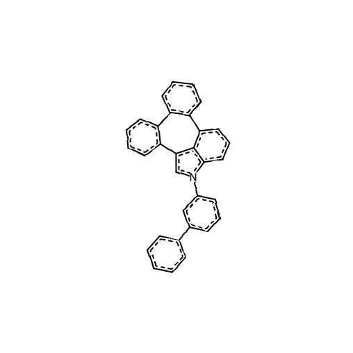 c1ccc(-c2cccc(-n3cc4c5c(cccc53)-c3ccccc3-c3ccccc3-4)c2)cc1